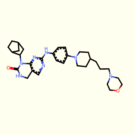 O=C1NCc2cnc(Nc3ccc(N4CCC(CCCN5CCOCC5)CC4)cc3)nc2N1C1CC2CCC1C2